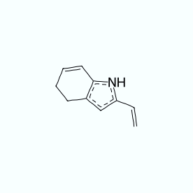 C=Cc1cc2c([nH]1)C=CCC2